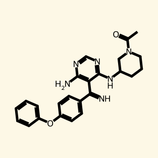 CC(=O)N1CCCC(Nc2ncnc(N)c2C(=N)c2ccc(Oc3ccccc3)cc2)C1